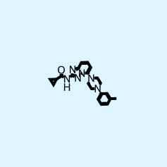 Cc1cccc(N2CCN(c3cccc4nc(NC(=O)C5CC5)nn34)CC2)c1